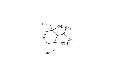 CC(=O)CC1(C(=O)O)CC=CC(C)(C(=O)O)C1N(C)C